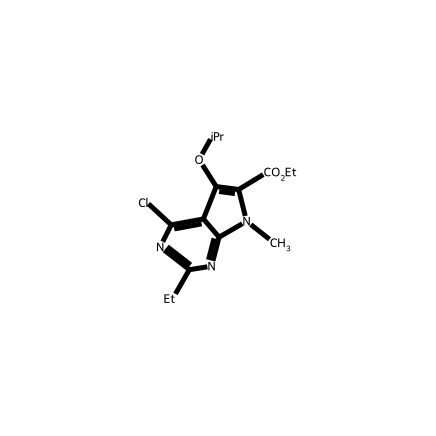 CCOC(=O)c1c(OC(C)C)c2c(Cl)nc(CC)nc2n1C